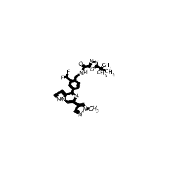 Cn1cc(-c2cn3nccc3c(-c3ccc(CNC(=O)c4nnc(C(C)(C)C)o4)c(C(F)F)c3)n2)cn1